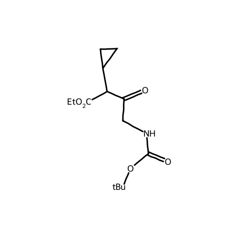 CCOC(=O)C(C(=O)CNC(=O)OC(C)(C)C)C1CC1